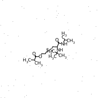 CC(C)NC(=O)C(CSSCCOC(=O)C(C)C)NC(C)(C)C